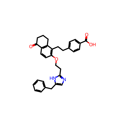 O=C(O)c1ccc(CCc2c(OCCc3ncc(Cc4ccccc4)[nH]3)ccc3c2CCCC3=O)cc1